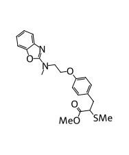 COC(=O)C(Cc1ccc(OCCN(C)c2nc3ccccc3o2)cc1)SC